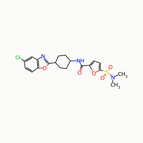 CN(C)S(=O)(=O)c1ccc(C(=O)NC2CCC(c3nc4cc(Cl)ccc4o3)CC2)o1